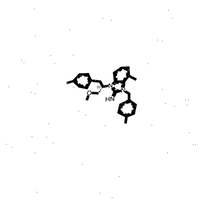 COC[C@H](Cc1ccc(C)cc1)n1c(=N)n(Cc2ccc(C)cc2)c2c(C)cccc21